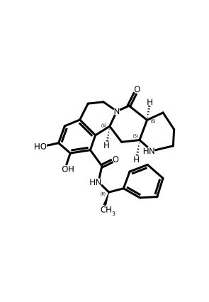 C[C@@H](NC(=O)c1c(O)c(O)cc2c1[C@@H]1C[C@@H]3NCCC[C@@H]3C(=O)N1CC2)c1ccccc1